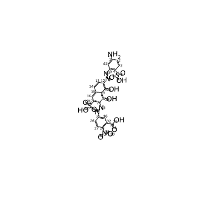 Nc1ccc(S(=O)(=O)O)c(/N=N/c2ccc3cc(S(=O)(=O)O)c(/N=N/c4ccc([N+](=O)[O-])c(C(=O)O)c4)c(O)c3c2O)c1